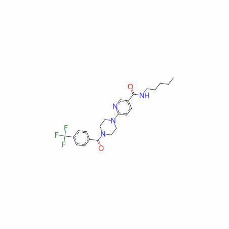 CCCCCNC(=O)c1ccc(N2CCN(C(=O)c3ccc(C(F)(F)F)cc3)CC2)nc1